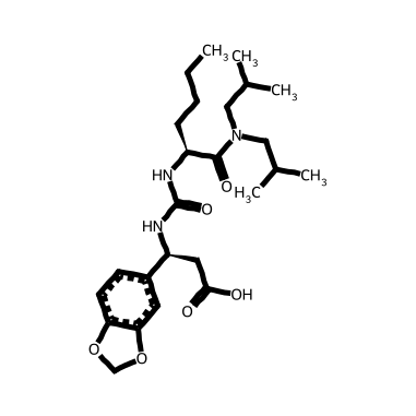 CCCC[C@H](NC(=O)N[C@@H](CC(=O)O)c1ccc2c(c1)OCO2)C(=O)N(CC(C)C)CC(C)C